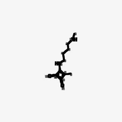 CNCCCCNc1c(C)c(=O)c1=O